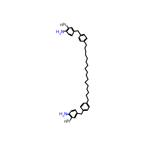 CCCc1cc(Cc2ccc(CCCCCCCCCCCCCCCCCc3ccc(Cc4ccc(N)c(CCC)c4)cc3)cc2)ccc1N